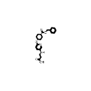 O=C(O)CCNc1ccc(O[C@H]2CC[C@H](C(=O)OCc3ccccc3)CC2)nc1